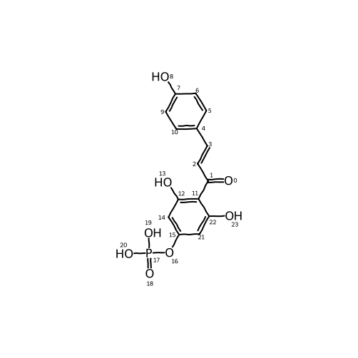 O=C(C=Cc1ccc(O)cc1)c1c(O)cc(OP(=O)(O)O)cc1O